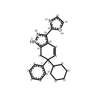 C1=CC(c2ccccc2)(C2CCCCC2)Cc2[nH]nc(-c3ncco3)c21